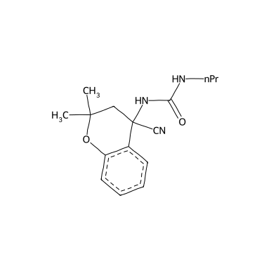 CCCNC(=O)NC1(C#N)CC(C)(C)Oc2ccccc21